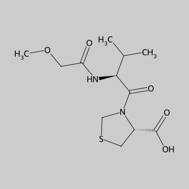 COCC(=O)N[C@H](C(=O)N1CSC[C@H]1C(=O)O)C(C)C